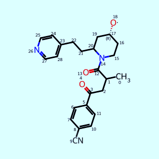 CC(CC(=O)c1ccc(C#N)cc1)C(=O)N1CC[C@@H]([O])CC1CCc1ccncc1